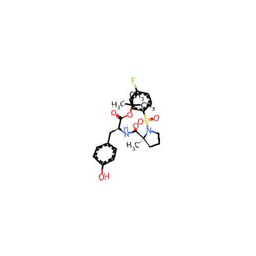 CC(C)(C)OC(=O)[C@H](Cc1ccc(O)cc1)NC(=O)[C@]1(C)CCCN1S(=O)(=O)c1ccc(F)cc1